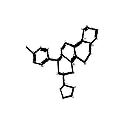 Cc1ccc(C2=c3ccc4c(c3CC(C3CCCC3)C2)CC=c2ccccc2=4)cc1